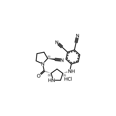 Cl.N#Cc1ccc(N[C@@H]2CN[C@H](C(=O)N3CCC[C@H]3C#N)C2)cc1C#N